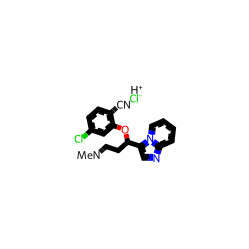 CNCCC(Oc1cc(Cl)ccc1C#N)c1cnc2ccccn12.[Cl-].[H+]